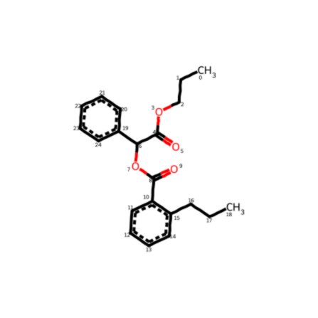 CCCOC(=O)C(OC(=O)c1ccccc1CCC)c1ccccc1